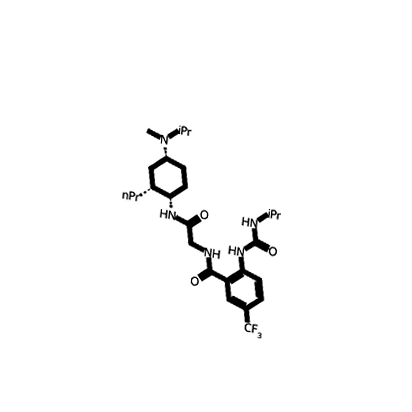 CCC[C@@H]1C[C@H](N(C)C(C)C)CC[C@@H]1NC(=O)CNC(=O)c1cc(C(F)(F)F)ccc1NC(=O)NC(C)C